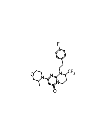 CC1COCCN1c1cc(=O)n2c(n1)N(CCc1ccc(F)cc1)C(C(F)(F)F)CC2